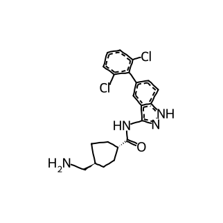 NC[C@H]1CC[C@H](C(=O)Nc2n[nH]c3ccc(-c4c(Cl)cccc4Cl)cc23)CC1